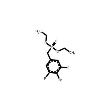 CCOP(=O)(Cc1cc(F)c(Br)c(F)c1)OCC